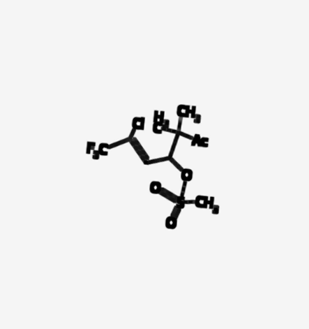 CC(=O)C(C)(C)C(C=C(Cl)C(F)(F)F)OS(C)(=O)=O